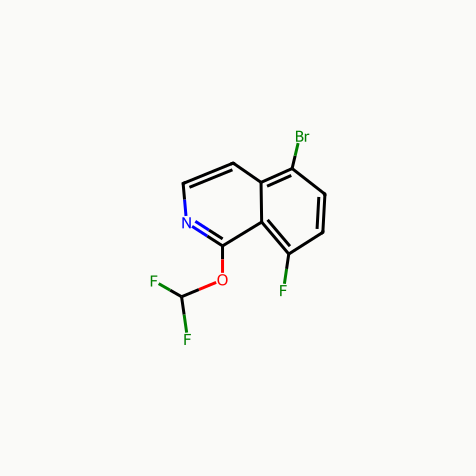 Fc1ccc(Br)c2ccnc(OC(F)F)c12